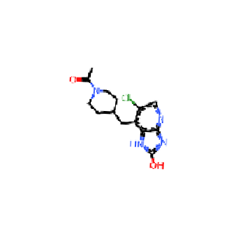 CC(=O)N1CCC(Cc2c(Cl)cnc3nc(O)[nH]c23)CC1